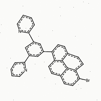 Brc1ccc2ccc3c(-c4cc(-c5ccccn5)cc(-c5ccccn5)c4)ccc4ccc1c2c43